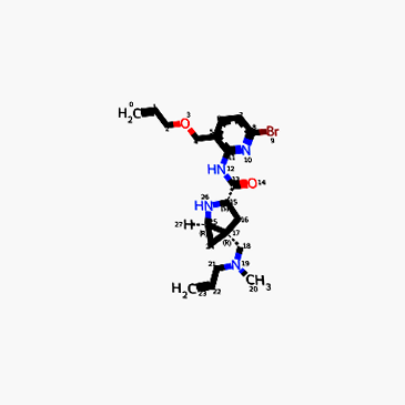 C=CCOCc1ccc(Br)nc1NC(=O)[C@@H]1C[C@@]2(CN(C)CC=C)C[C@H]2N1